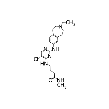 CCN1CCc2ccc(Nc3ncc(Cl)c(NCCCC(=O)NC)n3)cc2CC1